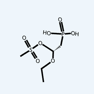 CCO[C@@H](CP(=O)(O)O)OS(C)(=O)=O